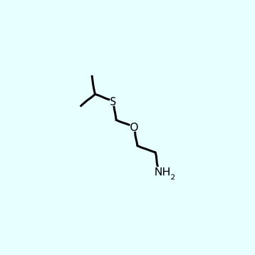 CC(C)SCOCCN